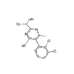 CCCC(CC)c1nc(C)c(-c2cccc(Cl)c2Cl)c(C#N)n1